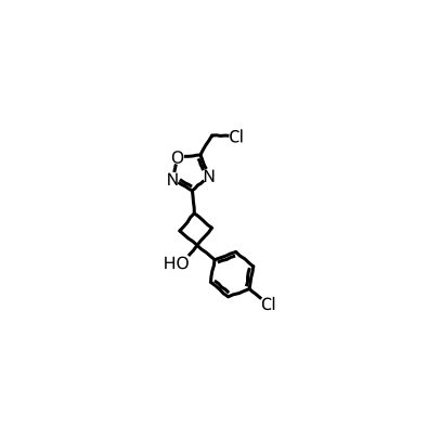 OC1(c2ccc(Cl)cc2)CC(c2noc(CCl)n2)C1